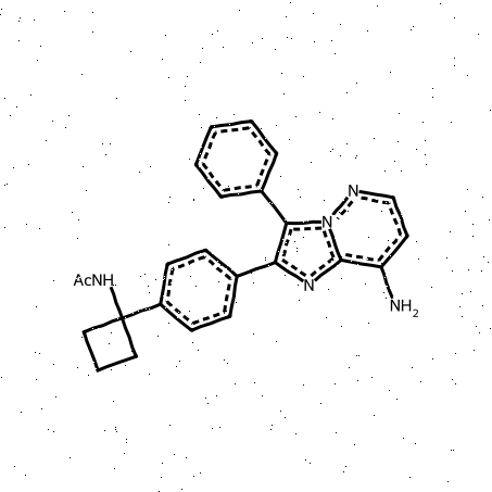 CC(=O)NC1(c2ccc(-c3nc4c(N)ccnn4c3-c3ccccc3)cc2)CCC1